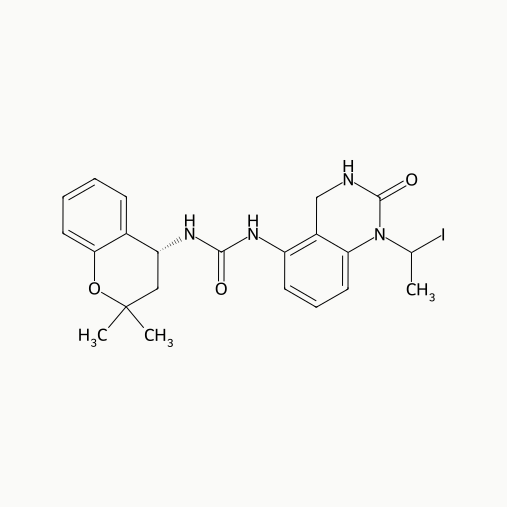 CC(I)N1C(=O)NCc2c(NC(=O)N[C@@H]3CC(C)(C)Oc4ccccc43)cccc21